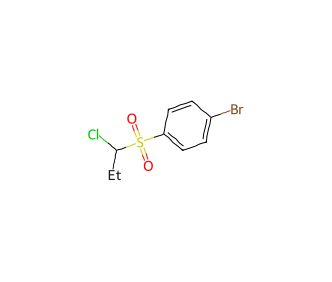 CCC(Cl)S(=O)(=O)c1ccc(Br)cc1